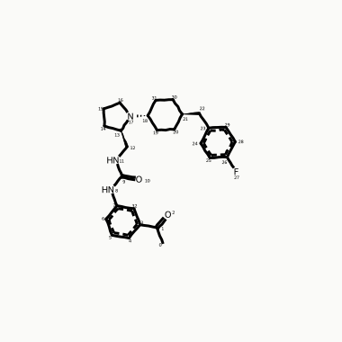 CC(=O)c1cccc(NC(=O)NC[C@H]2CCCN2[C@H]2CC[C@H](Cc3ccc(F)cc3)CC2)c1